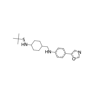 CC(C)(C)SNC1CCC(CNc2ccc(-c3cnco3)cc2)CC1